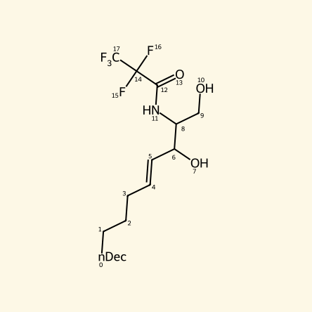 CCCCCCCCCCCCCC=CC(O)C(CO)NC(=O)C(F)(F)C(F)(F)F